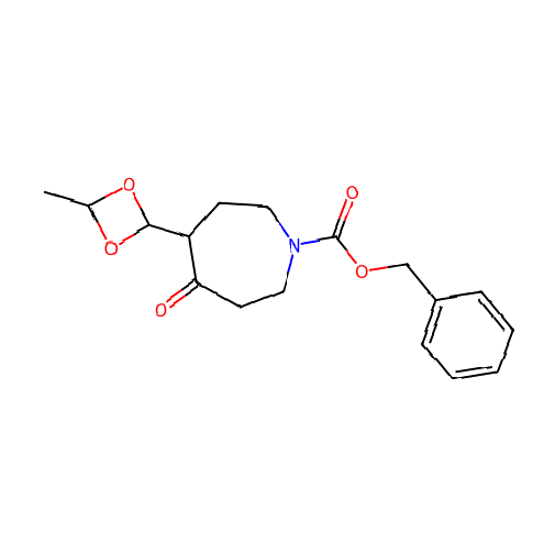 CC1OC(C2CCN(C(=O)OCc3ccccc3)CCC2=O)O1